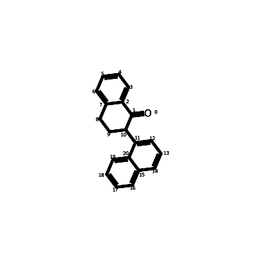 O=C1c2ccccc2CCC1c1cccc2ccccc12